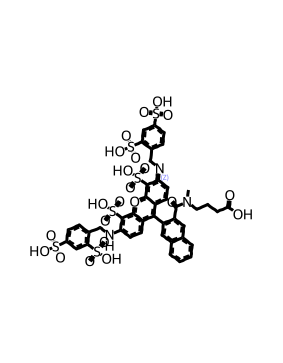 CN(CCCC(=O)O)C(=O)c1cc2ccccc2cc1-c1c2cc/c(=N/Cc3ccc(S(=O)(=O)O)cc3S(=O)(=O)O)c(S(=O)(=O)O)c-2oc2c(S(=O)(=O)O)c(NCc3ccc(S(=O)(=O)O)cc3S(=O)(=O)O)ccc12